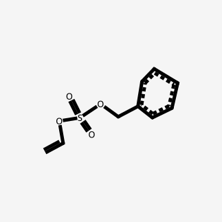 C=COS(=O)(=O)OCc1ccccc1